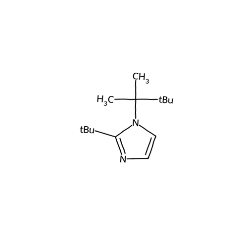 CC(C)(C)c1nccn1C(C)(C)C(C)(C)C